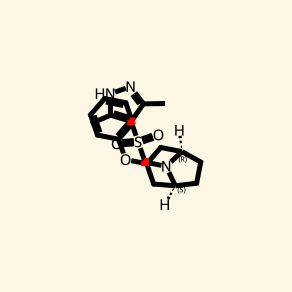 Cc1n[nH]c(C)c1S(=O)(=O)CN1[C@@H]2CC[C@H]1CC(Oc1ccccc1)C2